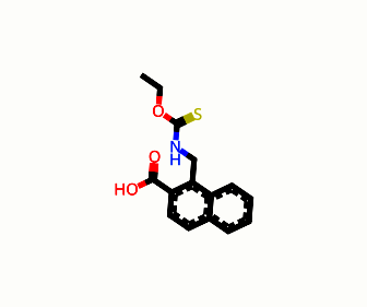 CCOC(=S)NCc1c(C(=O)O)ccc2ccccc12